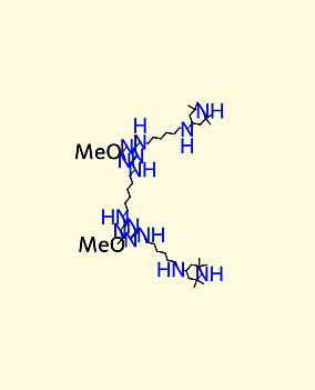 COc1nc(NCCCCCCNc2nc(NCCCCCCNC3CC(C)(C)NC(C)(C)C3)nc(OC)n2)nc(NCCCCCCNC2CC(C)(C)NC(C)(C)C2)n1